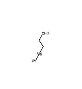 C[CH](C)[Mg][CH2]CC=O